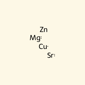 [Cu].[Mg].[Sr].[Zn]